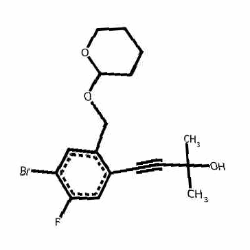 CC(C)(O)C#Cc1cc(F)c(Br)cc1COC1CCCCO1